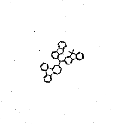 CC1(C)c2ccccc2-c2ccc(N(C3=CCC=c4c(c5ccccc5c5ccccc45)=C3)c3cccc4c3oc3ccccc34)cc21